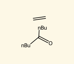 C=C.CCCCC(=O)CCCC